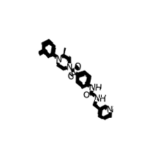 Cc1cccc(N2CCN(S(=O)(=O)c3ccc(NC(=O)NCc4cccnc4)cc3)C[C@@H]2C)c1